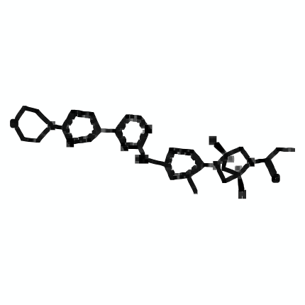 CCC(=O)N1C[C@@H]2C[C@H]1CN2c1ccc(Nc2nccc(-c3ccc(N4CCOCC4)nc3)n2)cc1C